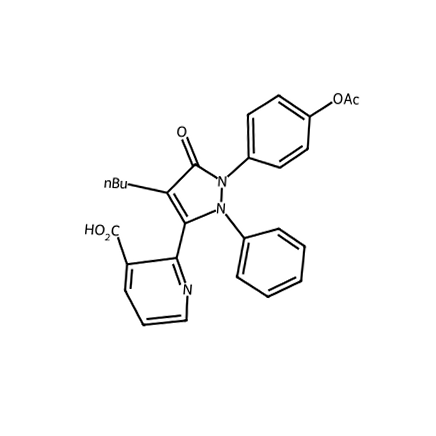 CCCCc1c(-c2ncccc2C(=O)O)n(-c2ccccc2)n(-c2ccc(OC(C)=O)cc2)c1=O